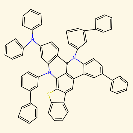 c1ccc(-c2cccc(N3B4c5ccc(N(c6ccccc6)c6ccccc6)cc5N(c5cccc(-c6ccccc6)c5)c5c4c(cc4c5sc5ccccc54)-c4cc(-c5ccccc5)ccc43)c2)cc1